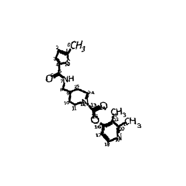 Cc1ccc(C(=O)NCC2CCN(C(=O)Oc3ccnc(C)c3C)CC2)s1